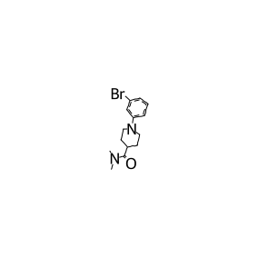 CN(C)C(=O)C1CCN(c2cccc(Br)c2)CC1